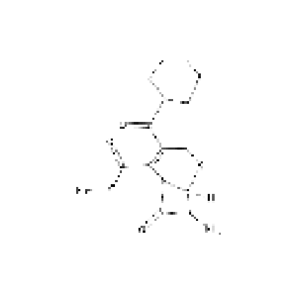 CC(C)(C)OC(=O)C1=C(C(=O)C2CCCCC2)CS[C@H]2C(N)C(=O)N12